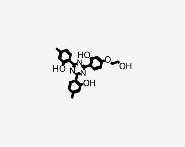 Cc1ccc(-c2nc(-c3ccc(C)cc3O)nc(-c3ccc(OCCO)cc3O)n2)c(O)c1